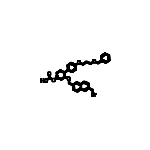 O=C(O)ON1CCC(c2ccc(OCCCOCc3ccccc3)cc2)C(OCc2ccc3cc(CBr)ccc3c2)C1